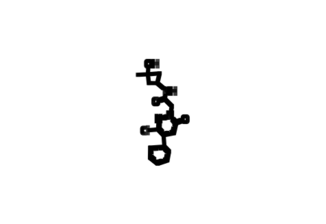 CC1(O)CC(NC(=O)Cn2nc(Cl)c(-c3ccccc3)cc2=O)C1